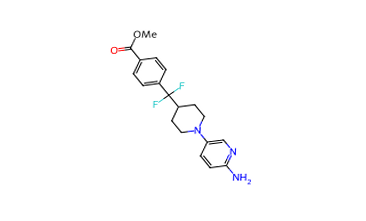 COC(=O)c1ccc(C(F)(F)C2CCN(c3ccc(N)nc3)CC2)cc1